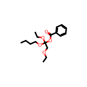 CCCCOC(COCC)(OCC)OC(=O)c1ccccc1